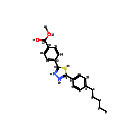 CCCCCc1ccc(-c2nnc(-c3ccc(C(=O)OC)cc3)s2)cc1